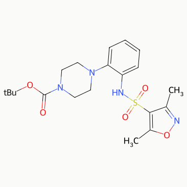 Cc1noc(C)c1S(=O)(=O)Nc1ccccc1N1CCN(C(=O)OC(C)(C)C)CC1